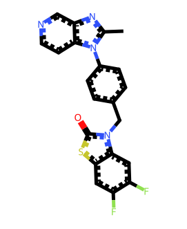 Cc1nc2cnccc2n1-c1ccc(Cn2c(=O)sc3cc(F)c(F)cc32)cc1